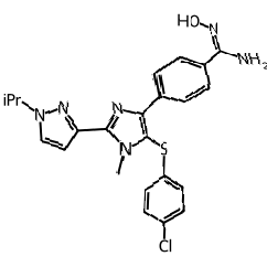 CC(C)n1ccc(-c2nc(-c3ccc(/C(N)=N\O)cc3)c(Sc3ccc(Cl)cc3)n2C)n1